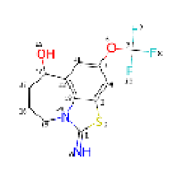 N=c1sc2cc(OC(F)(F)F)cc3c2n1CCCC3O